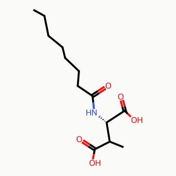 CCCCCCCC(=O)N[C@H](C(=O)O)C(C)C(=O)O